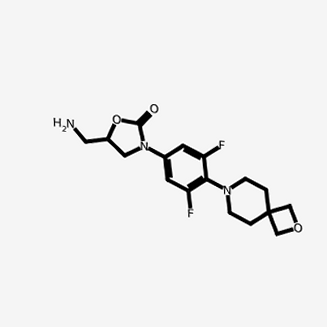 NCC1CN(c2cc(F)c(N3CCC4(CC3)COC4)c(F)c2)C(=O)O1